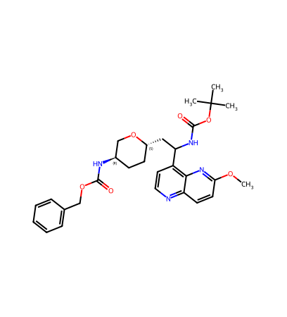 COc1ccc2nccc(C(C[C@@H]3CC[C@@H](NC(=O)OCc4ccccc4)CO3)NC(=O)OC(C)(C)C)c2n1